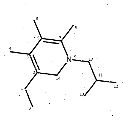 CCC1=C(C)C(C)=C(C)N(CC(C)C)C1